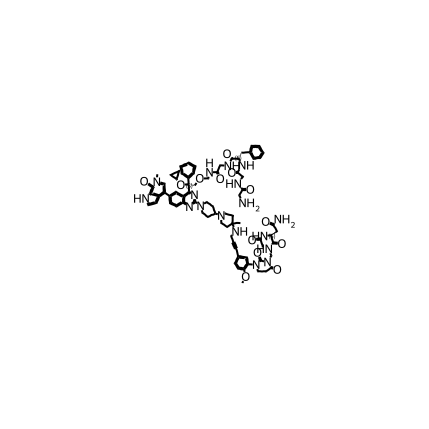 COc1ccc(C#CCNC2(C)CCN(C3CCN(c4nc([C@@](COCNC(=O)CNC(=O)[C@H](Cc5ccccc5)NC(=O)CNC(=O)CN)(OC5CC5)c5ccccc5)c5cc(-c6cn(C)c(=O)c7[nH]ccc67)ccc5n4)CC3)CC2)cc1N1CCC(=O)N(CNC(=O)[C@H](CC(N)=O)NC(C)=O)C1=O